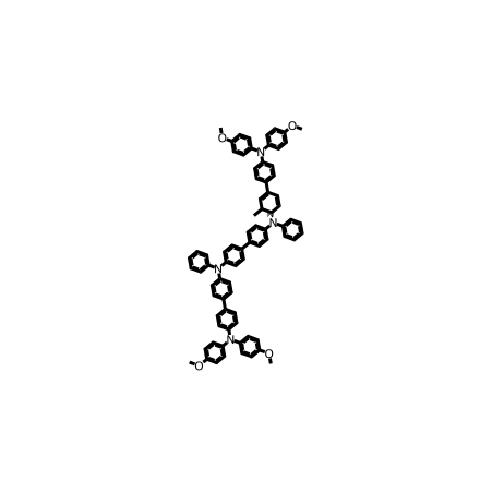 COc1ccc(N(c2ccc(OC)cc2)c2ccc(C3=CC(C)[C@@H](N(c4ccccc4)c4ccc(-c5ccc(N(c6ccccc6)c6ccc(-c7ccc(N(c8ccc(OC)cc8)c8ccc(OC)cc8)cc7)cc6)cc5)cc4)C=C3)cc2)cc1